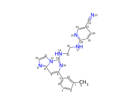 Cc1cccc(-c2cc3nccn3c(NCCNc3ccc(C#N)cn3)n2)c1